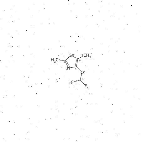 Cc1nc(OC(F)F)c(C)s1